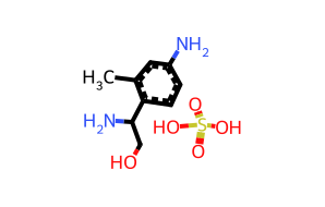 Cc1cc(N)ccc1C(N)CO.O=S(=O)(O)O